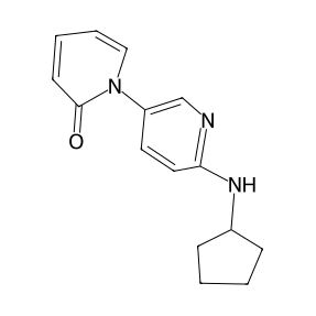 O=c1ccccn1-c1ccc(NC2CCCC2)nc1